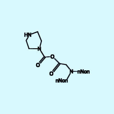 CCCCCCCCCN(CCCCCCCCC)CC(=O)OC(=O)N1CCNCC1